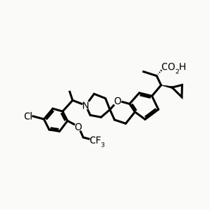 CC(c1cc(Cl)ccc1OCC(F)(F)F)N1CCC2(CCc3ccc([C@H](C4CC4)[C@H](C)C(=O)O)cc3O2)CC1